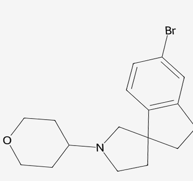 Brc1ccc2c(c1)CCC21CCN(C2CCOCC2)C1